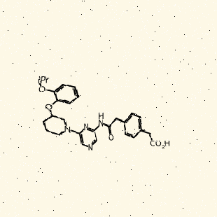 CC(C)Oc1ccccc1O[C@@H]1CCCN(c2cncc(NC(=O)Cc3ccc(CC(=O)O)cc3)n2)C1